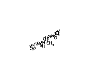 CC(SC(=O)OCOC(=O)c1ccccc1)C(=O)NCC(=O)OCCN1CCOCC1